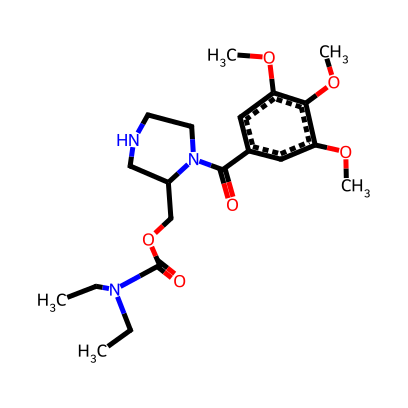 CCN(CC)C(=O)OCC1CNCCN1C(=O)c1cc(OC)c(OC)c(OC)c1